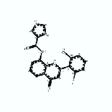 O=C(Nc1cccc2c(=O)cc(-c3c(F)cccc3Cl)oc12)c1cscn1